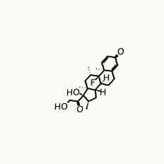 C[C@@H]1C[C@H]2[C@@H]3CCC4=CC(=O)C=C[C@]4(C)[C@@]3(F)[C@@H](C)C[C@]2(C)[C@@]1(O)C(=O)CO